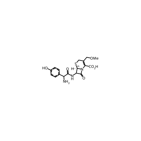 COCC1=C(C(=O)O)N2C(=O)C(NC(=O)C(N)c3ccc(O)cc3)[C@H]2SC1